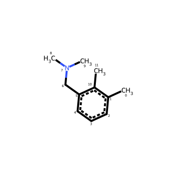 Cc1cccc(CN(C)C)c1C